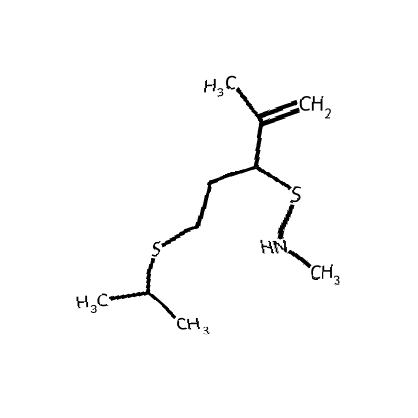 C=C(C)C(CCSC(C)C)SNC